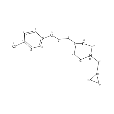 Clc1ccc(OCCC2CCN(CC3CC3)CC2)cc1